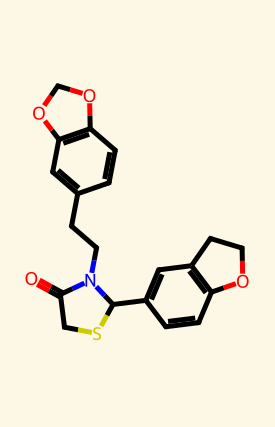 O=C1CSC(c2ccc3c(c2)CCO3)N1CCc1ccc2c(c1)OCO2